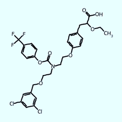 CCOC(Cc1ccc(OCCN(CCOCc2cc(Cl)cc(Cl)c2)C(=O)Oc2ccc(C(F)(F)F)cc2)cc1)C(=O)O